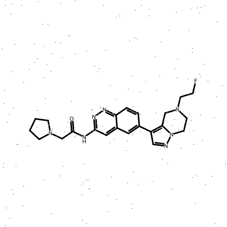 O=C(CN1CCCC1)Nc1cc2cc(-c3cnn4c3CN(CCF)CC4)ccc2nn1